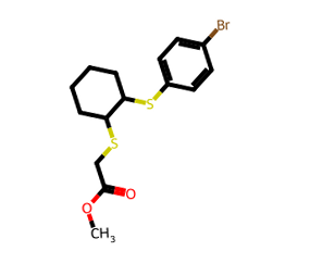 COC(=O)CSC1CCCCC1Sc1ccc(Br)cc1